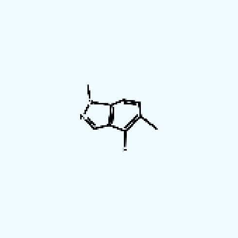 Cc1ccc2c(cnn2C)c1F